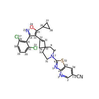 N#Cc1cnc2nc(N3CCC4(C=C(c5c(-c6c(Cl)cccc6Cl)noc5C5CC5)C4)CC3)sc2c1